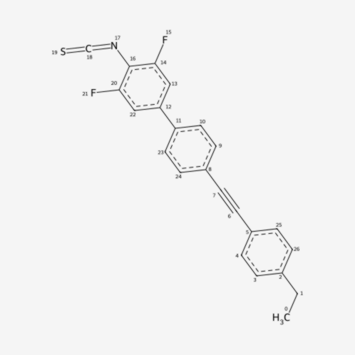 CCc1ccc(C#Cc2ccc(-c3cc(F)c(N=C=S)c(F)c3)cc2)cc1